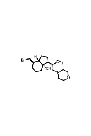 C[C@@H](CN1CCOCC1)[C@H]1CC[C@H]2/C(=C/Br)CCC[C@]12C